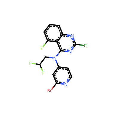 Fc1cccc2nc(Cl)nc(N(CC(F)F)c3ccnc(Br)c3)c12